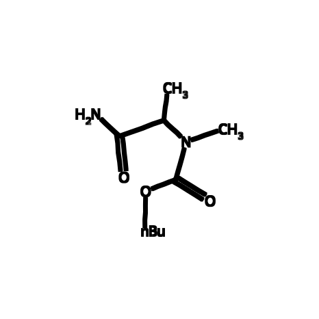 CCCCOC(=O)N(C)C(C)C(N)=O